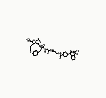 CC(C)CC1C(=O)NC(C(=O)NCC(=O)NCCCNC(=O)c2ccc(C(=NN)c3ccccc3S(=O)(=O)O)nc2)Cc2ccc(cc2)OCCCC1C(=O)NO